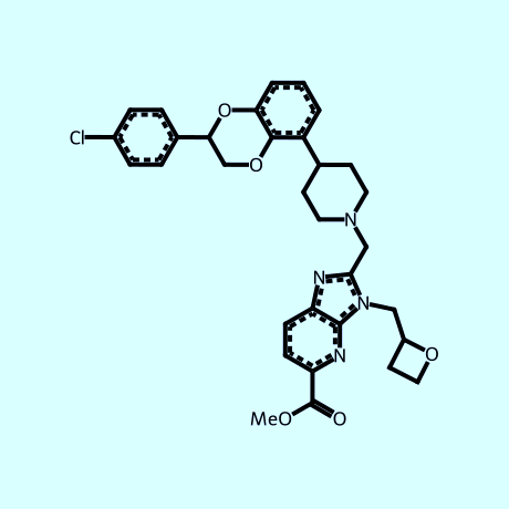 COC(=O)c1ccc2nc(CN3CCC(c4cccc5c4OCC(c4ccc(Cl)cc4)O5)CC3)n(CC3CCO3)c2n1